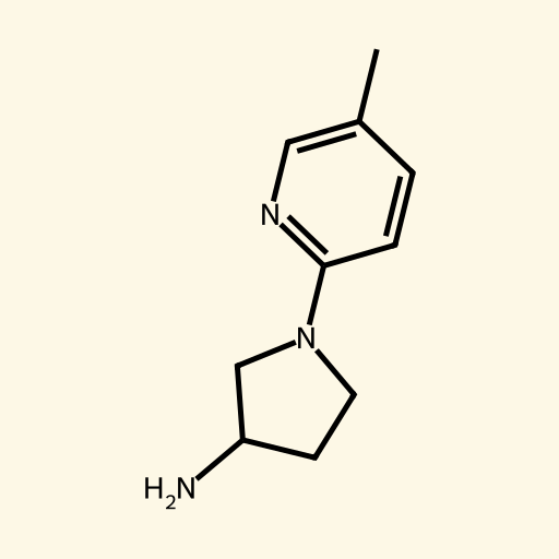 Cc1ccc(N2CCC(N)C2)nc1